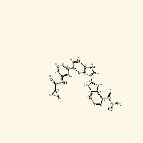 CCN(CC)C(=O)c1ccnc2[nH]c(-c3n[nH]c4ncc(-c5cncc(NC(=O)C6CC6)c5)cc34)nc12